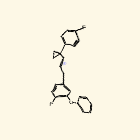 Fc1ccc(C2(/C=C/Cc3ccc(F)c(Oc4ccccc4)c3)CC2)cc1